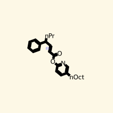 CCCCCCCCc1ccc(OC(=O)/C=C/C(CCC)c2ccccc2)nc1